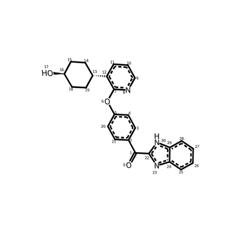 O=C(c1ccc(Oc2ncccc2[C@H]2CC[C@H](O)CC2)cc1)c1nc2ccccc2[nH]1